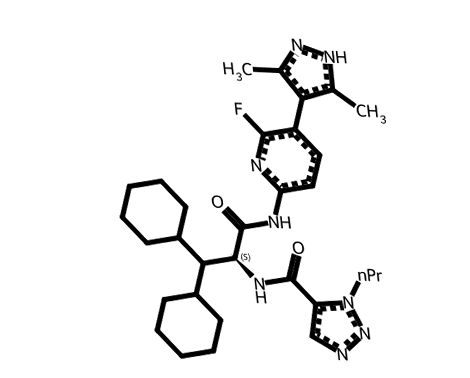 CCCn1nncc1C(=O)N[C@H](C(=O)Nc1ccc(-c2c(C)n[nH]c2C)c(F)n1)C(C1CCCCC1)C1CCCCC1